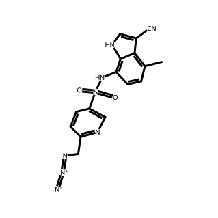 Cc1ccc(NS(=O)(=O)c2ccc(CN=[N+]=[N-])nc2)c2[nH]cc(C#N)c12